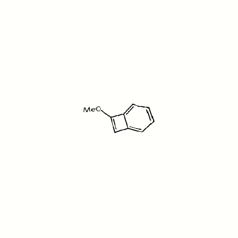 COC1=[C]c2ccccc21